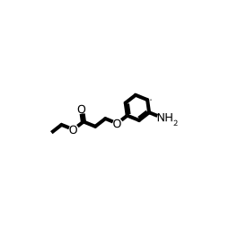 CCOC(=O)CCOC1=CC[CH]C(N)=C1